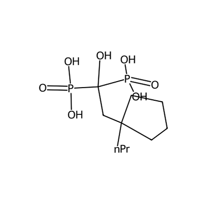 CCCC1(CC(O)(P(=O)(O)O)P(=O)(O)O)CCCC1